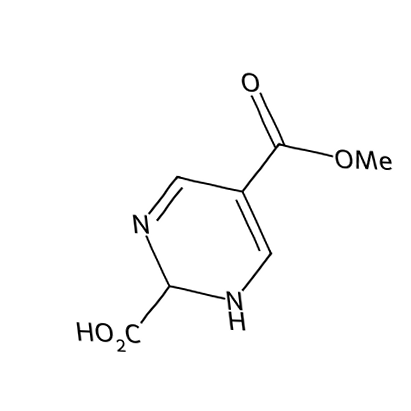 COC(=O)C1=CNC(C(=O)O)N=C1